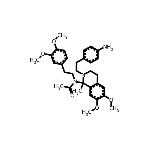 COc1ccc(CCN(C(C)=O)C2(C)c3cc(OC)c(OC)cc3CCN2CCc2ccc(N)cc2)cc1OC